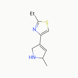 CCc1nc(C2=CC(C)NC2)cs1